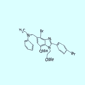 COCCn1c(-c2ccc(C(C)C)cc2)nc2c(Br)c(CN(C)c3ccccc3)cc(OC)c21